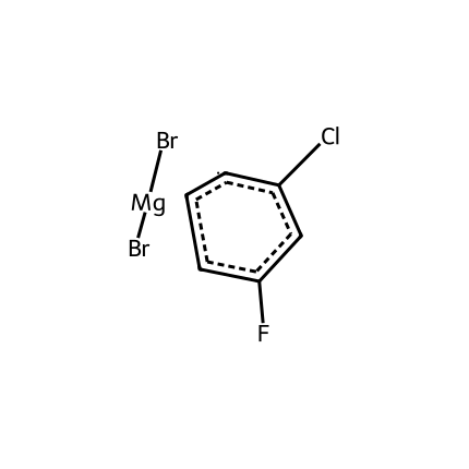 Fc1cc[c]c(Cl)c1.[Br][Mg][Br]